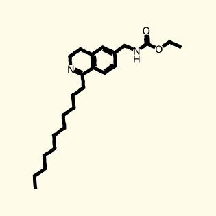 CCCCCCCCCCCC1=NCCc2cc(CNC(=O)OCC)ccc21